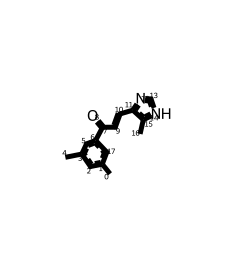 Cc1cc(C)cc(C(=O)/C=C/c2nc[nH]c2C)c1